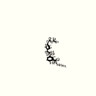 CCCCCCNC(=O)c1cccc(S(=O)(=O)NC(=O)c2ccc(OC(=O)OC(CC)CC)nc2)c1